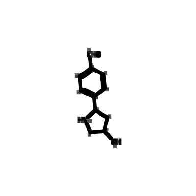 O=Cc1ccc(C2CC(O)CN2)cc1